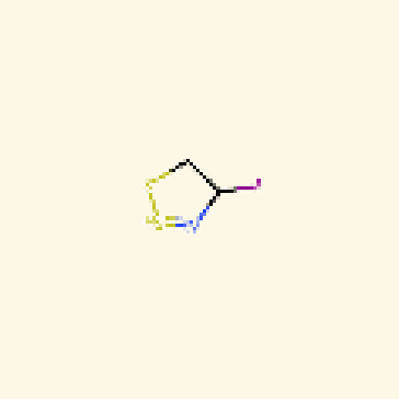 IC1CS[SH]=N1